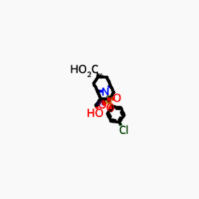 O=C1CC2C[C@@H](C(=O)O)CC(/C1=C/O)N2S(=O)(=O)c1ccc(Cl)cc1